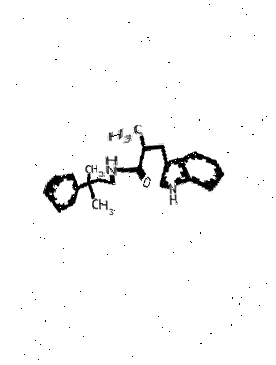 CC(Cc1c[nH]c2ccccc12)C(=O)NCC(C)(C)c1ccccc1